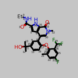 CCNC(=O)c1cc2c(-c3cc(C(C)(C)O)ccc3Oc3c(C)cc(F)cc3C(F)F)cn(C)c(=O)c2[nH]1